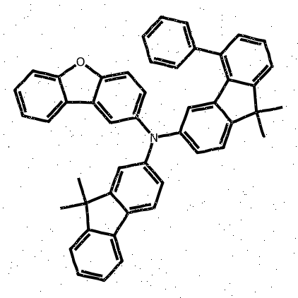 CC1(C)c2ccccc2-c2ccc(N(c3ccc4c(c3)-c3c(-c5ccccc5)cccc3C4(C)C)c3ccc4oc5ccccc5c4c3)cc21